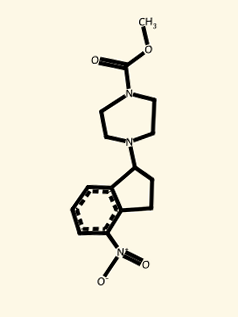 COC(=O)N1CCN(C2CCc3c2cccc3[N+](=O)[O-])CC1